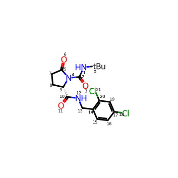 CC(C)(C)NC(=O)N1C(=O)CC[C@H]1C(=O)NCc1ccc(Cl)cc1Cl